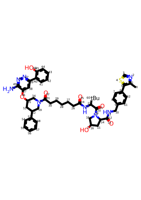 Cc1ncsc1-c1ccc(CNC(=O)C2CC(O)CN2C(=O)C(NC(=O)CCCCCC(=O)N2CC(Oc3cc(-c4ccccc4O)nnc3N)CC(c3ccccc3)C2)C(C)(C)C)cc1